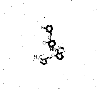 CN1CCCC1CCOc1cccc2ncnc(Nc3ccc(OCc4cccc(F)c4)c(Cl)c3)c12